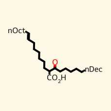 CCCCCCCCC=CCCCCCCC(C(=O)O)C(=O)CCCCCCCCCCCCCCC